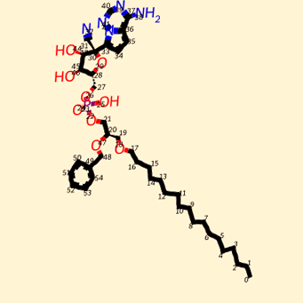 CCCCCCCCCCCCCCCCCCOC[C@H](COP(=O)(O)OC[C@H]1O[C@@](C#N)(c2ccc3c(N)ncnn23)[C@H](O)[C@@H]1O)OCc1ccccc1